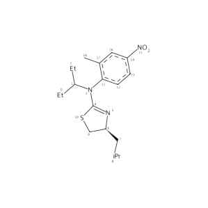 CCC(CC)N(C1=N[C@@H](CC(C)C)CS1)c1ccc([N+](=O)[O-])cc1C